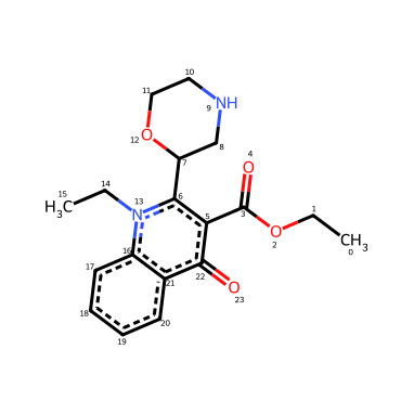 CCOC(=O)c1c(C2CNCCO2)n(CC)c2ccccc2c1=O